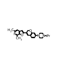 Cc1cc2cc(C3=Cc4ccc(N5CCN(C(C)C)CC5)cc4OC3)oc2c(C)n1